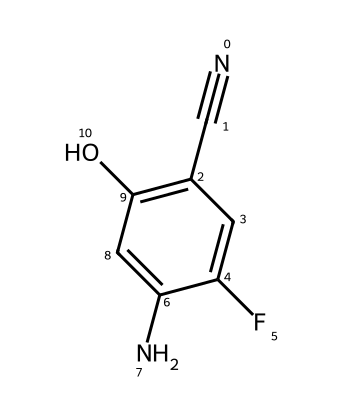 N#Cc1cc(F)c(N)cc1O